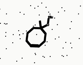 CC(C)(C)OC1(C)CCC=CCCC1